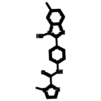 Cc1ccc2nc(-c3ccc(NC(=O)c4nccn4C)cc3)n(O)c2c1